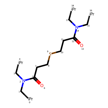 CC(C)CN(CC(C)C)C(=O)CCSCCC(=O)N(CC(C)C)CC(C)C